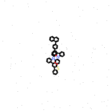 c1ccc(N(c2ccc(-c3ccc(-c4cccc5ccccc45)cc3)cc2)c2ccccc2-n2c3ccccc3c3ccccc32)c(-c2ccc3sc4ccccc4c3c2)c1